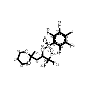 Cc1c(F)c(F)c(S(=O)(=O)OC(CC2(C)OCCCO2)C(F)(F)F)c(F)c1F